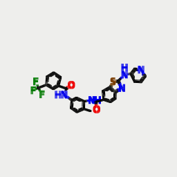 Cc1ccc(NC(=O)c2cccc(C(F)(F)F)c2)cc1NC(=O)c1ccc2nc(Nc3cccnc3)sc2c1